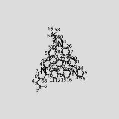 CC(C)C(C)c1ccnc(-c2ccc(-c3ccccc3-c3cc(-c4ccccc4-c4ccc(-c5ccccn5)cc4)cc(-c4ccccc4-c4ccc(-c5cc(C(C)(C)C)ccn5)cc4)c3)cc2)c1